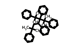 CC(C)(C[C](c1ccccc1)C(c1ccccc1)(C(C)(C)c1ccccc1)C(C)(C)c1ccccc1)c1ccccc1